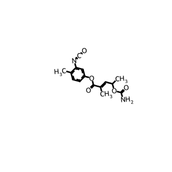 CC(=CC(C)OC(N)=O)C(=O)Oc1ccc(C)c(N=C=O)c1